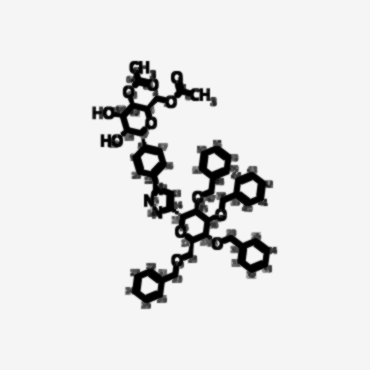 CC(=O)OC[C@H]1O[C@H](c2ccc(-n3cc([C@H]4O[C@H](COCc5ccccc5)[C@@H](OCc5ccccc5)[C@H](OCc5ccccc5)[C@@H]4OCc4ccccc4)nn3)cc2)[C@@H](O)[C@@H](O)[C@H]1OC(C)=O